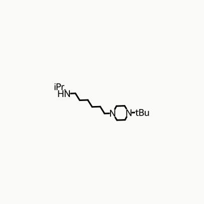 CC(C)NCCCCCCN1CCN(C(C)(C)C)CC1